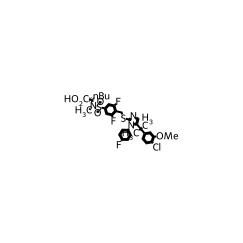 CCCC[C@@H](C(=O)O)N(C)S(=O)(=O)c1cc(F)c(CSc2ncc(C(C)(C)c3ccc(Cl)c(OC)c3)n2-c2ccc(F)cc2)c(F)c1